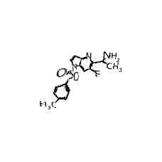 Cc1ccc(S(=O)(=O)n2ccc3nc(C(C)N)c(F)cc32)cc1